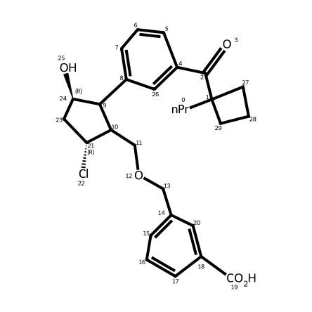 CCCC1(C(=O)c2cccc(C3C(COCc4cccc(C(=O)O)c4)[C@H](Cl)C[C@H]3O)c2)CCC1